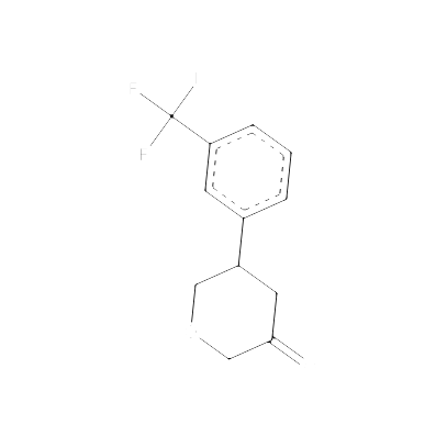 O=C1COCC(c2cccc(C(F)(F)F)c2)C1